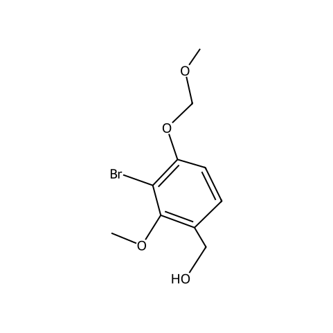 COCOc1ccc(CO)c(OC)c1Br